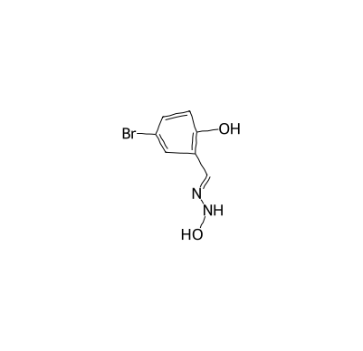 ONN=Cc1cc(Br)ccc1O